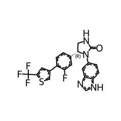 O=C1NC[C@@H](c2ccc(-c3csc(C(F)(F)F)c3)c(F)c2)N1c1ccc2[nH]cnc2c1